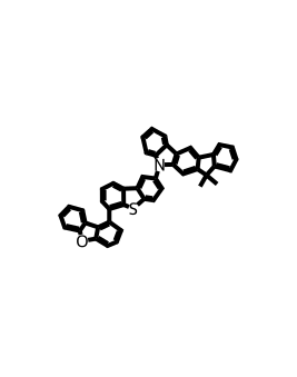 CC1(C)c2ccccc2-c2cc3c4ccccc4n(-c4ccc5sc6c(-c7cccc8oc9ccccc9c78)cccc6c5c4)c3cc21